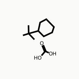 CC(C)(C)C1CCCCC1.O=C(O)O